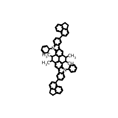 CC1c2cc3c4cc(-c5ccc6c7c(cccc57)CC6)ccc4n(C4C=CC=CC4)c3c3c2-c2c(cc4c5cc(-c6ccc7c8c(cccc68)CC7)ccc5n(-c5ccccc5)c4c2C1C)C(C)C3C